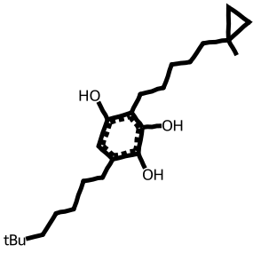 CC(C)(C)CCCCCc1cc(O)c(CCCCCC2(C)CC2)c(O)c1O